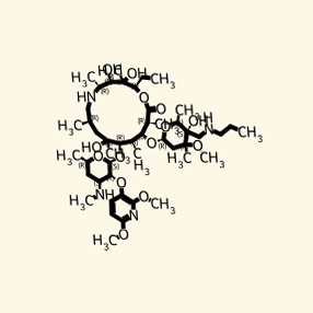 CCCNC[C@]1(O)[C@H](C)O[C@@H](O[C@H]2[C@H](C)[C@@H](O[C@@H]3O[C@H](C)C[C@H](NC)[C@H]3Oc3ccc(OC)nc3OC)[C@](C)(O)C[C@@H](C)CN[C@H](C)[C@@H](O)[C@](C)(O)[C@@H](CC)OC(=O)[C@@H]2C)C[C@@]1(C)OC